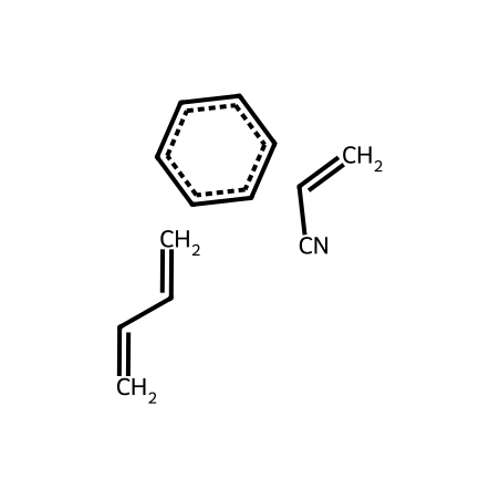 C=CC#N.C=CC=C.c1ccccc1